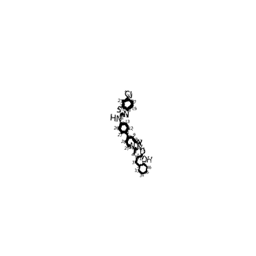 O=C(O)[C@@H](Cc1nnc2cc(-c3ccc(Nc4nc5ccc(Cl)cc5s4)cc3)ccn12)CC1CCCCC1